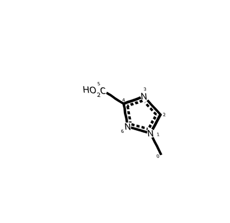 Cn1cnc(C(=O)O)n1